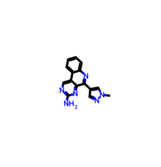 Cn1cc(-c2nc3ccccc3c3cnc(N)nc23)cn1